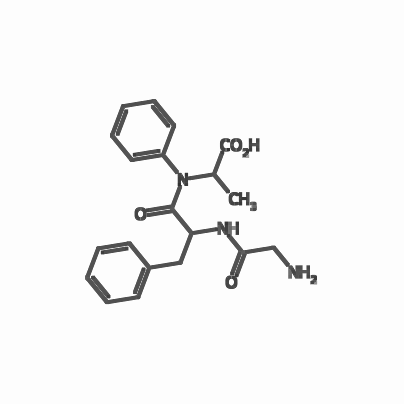 CC(C(=O)O)N(C(=O)C(Cc1ccccc1)NC(=O)CN)c1ccccc1